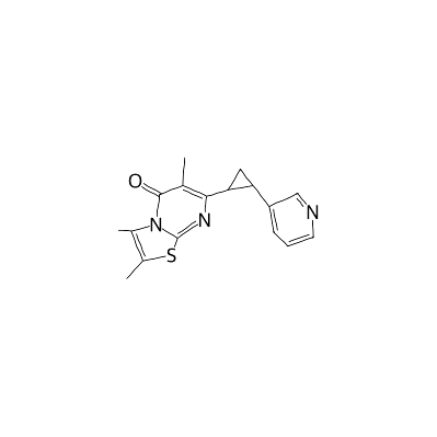 Cc1sc2nc(C3CC3c3cccnc3)c(C)c(=O)n2c1C